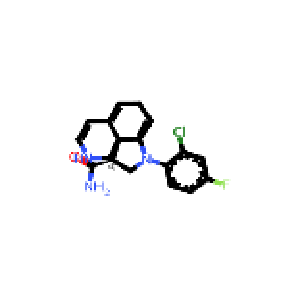 NC(=O)[C@@H]1CN(c2ccc(F)cc2Cl)C2=CCC=C3C=CNCC321